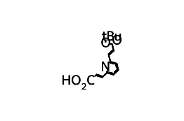 CC(C)(C)OC(=O)C=Cc1cccc(C=CC(=O)O)n1